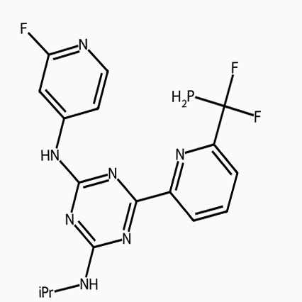 CC(C)Nc1nc(Nc2ccnc(F)c2)nc(-c2cccc(C(F)(F)P)n2)n1